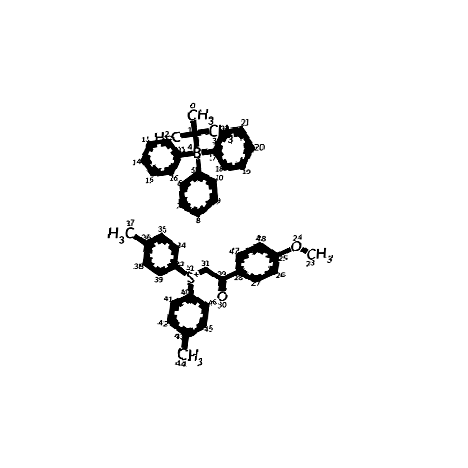 CC(C)(C)[B-](c1ccccc1)(c1ccccc1)c1ccccc1.COc1ccc(C(=O)C[S+](c2ccc(C)cc2)c2ccc(C)cc2)cc1